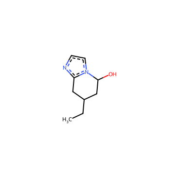 CCC1Cc2nccn2C(O)C1